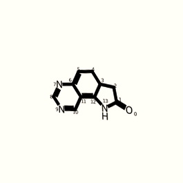 O=C1CC2CC=c3ncncc3=C2N1